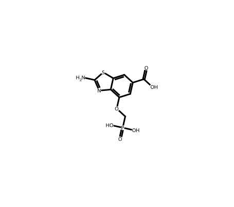 Nc1nc2c(OCP(=O)(O)O)cc(C(=O)O)cc2s1